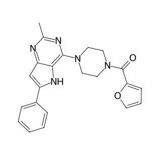 Cc1nc(N2CCN(C(=O)c3ccco3)CC2)c2[nH]c(-c3ccccc3)cc2n1